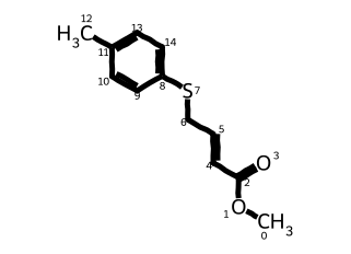 COC(=O)C=CCSc1ccc(C)cc1